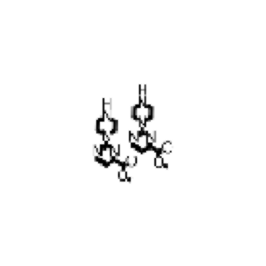 COC(=O)c1ccnc(N2CCNCC2)n1.COC(=O)c1ccnc(N2CCNCC2)n1